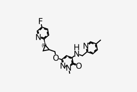 Cc1ccc(CNc2cc(OCC3C[C@H]3c3ccc(F)cn3)nn(C)c2=O)nc1